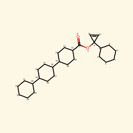 O=C(OC1(C2CCCCC2)C=C1)C1CCC(C2CCC(C3CCCCC3)CC2)CC1